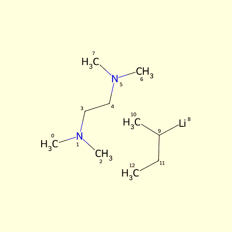 CN(C)CCN(C)C.[Li][CH](C)CC